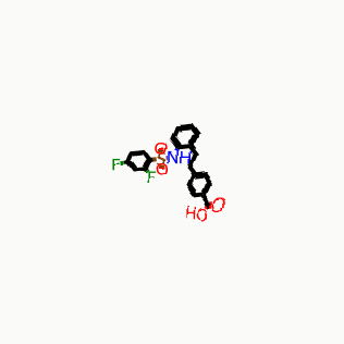 O=C(O)c1ccc(CCc2ccccc2NS(=O)(=O)c2ccc(F)cc2F)cc1